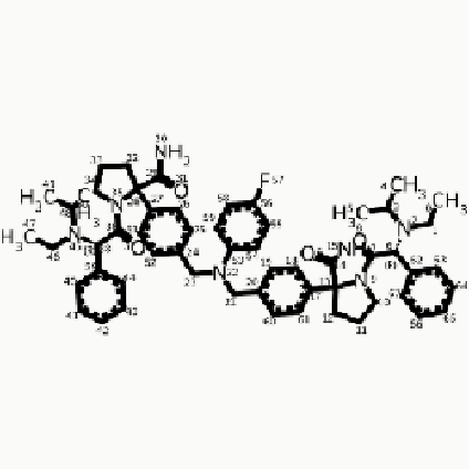 CCN(C(C)C)[C@@H](C(=O)N1CCCC1(C(N)=O)c1ccc(CN(Cc2ccc(C3(C(N)=O)CCCN3C(=O)[C@@H](c3ccccc3)N(CC)C(C)C)cc2)c2ccc(F)cc2)cc1)c1ccccc1